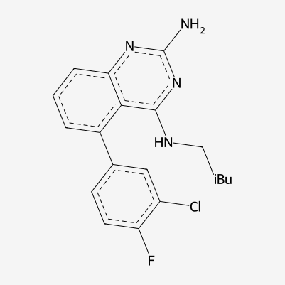 CCC(C)CNc1nc(N)nc2cccc(-c3ccc(F)c(Cl)c3)c12